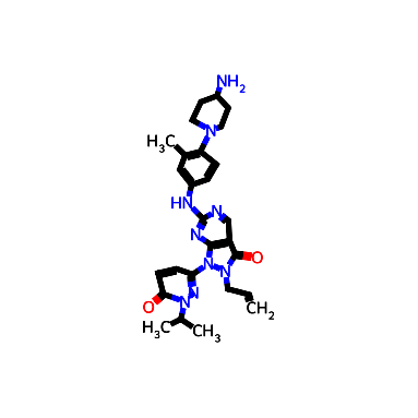 C=CCn1c(=O)c2cnc(Nc3ccc(N4CCC(N)CC4)c(C)c3)nc2n1-c1ccc(=O)n(C(C)C)n1